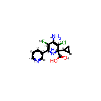 NC1=C(Cl)C(C(=O)O)(C2CC2)NC(c2cccnc2)=C1F